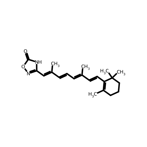 CC1=C(/C=C/C(C)=C/C=C/C(C)=C/c2noc(=O)[nH]2)C(C)(C)CCC1